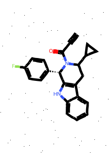 C#CC(=O)N1C(C2CC2)Cc2c([nH]c3ccccc23)[C@@H]1c1ccc(F)cc1